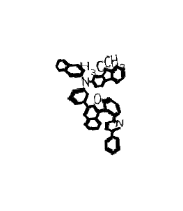 CC1(C)c2ccccc2-c2ccc(N(c3cccc(-c4cc5ccccc5c5c4oc4cccc(-c6ccc(-c7ccccc7)cn6)c45)c3)c3ccc4ccccc4c3)cc21